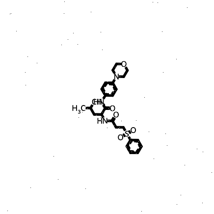 CC(C)CC(NC(=O)CCS(=O)(=O)c1ccccc1)C(=O)Nc1ccc(N2CCOCC2)cc1